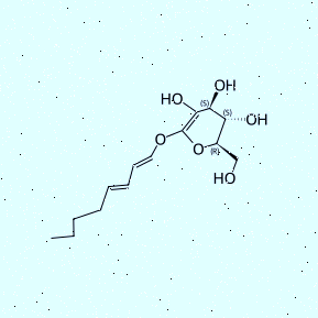 CCCCC=CC=COC1=C(O)[C@@H](O)[C@H](O)[C@@H](CO)O1